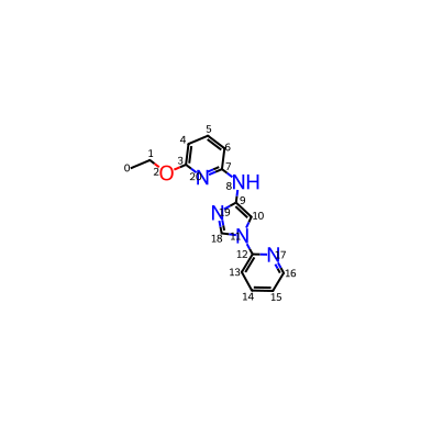 CCOc1cccc(Nc2cn(-c3ccccn3)cn2)n1